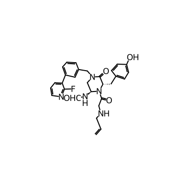 C=CCNCC(=O)N1[C@@H](NC=O)CN(Cc2cccc(-c3cccnc3F)c2)C(=O)[C@@H]1Cc1ccc(O)cc1